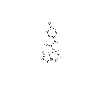 O=C(Oc1ccc(Cl)cc1)c1cccc2ocnc12